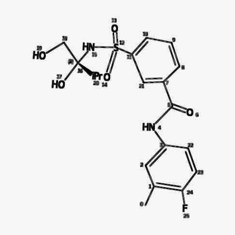 Cc1cc(NC(=O)c2cccc(S(=O)(=O)N[C@](O)(CO)C(C)C)c2)ccc1F